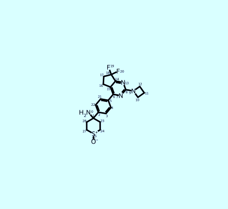 NC1(c2ccc(-c3nc(N4CCC4)nc4c3CCC4(F)F)cc2)CC[S+]([O-])CC1